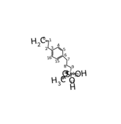 C=CCc1ccc(CCC[Si](O)(O)OC)cc1